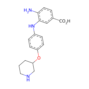 Nc1ccc(C(=O)O)cc1Nc1ccc(OC2CCCNC2)cc1